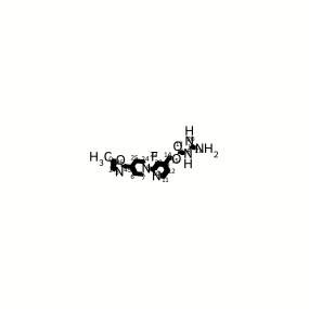 Cc1cnc(C2=CCN(c3nccc(COC(=O)NC(=N)N)c3F)CC2)o1